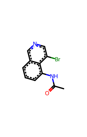 CC(=O)Nc1cccc2cncc(Br)c12